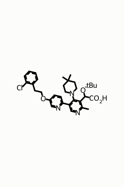 Cc1ncc(-c2ccc(OCCc3ccccc3Cl)cn2)c(N2CCC(C)(C)CC2)c1C(OC(C)(C)C)C(=O)O